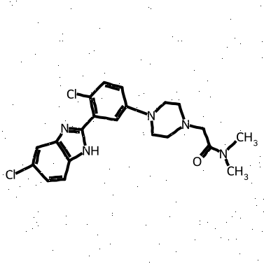 CN(C)C(=O)CN1CCN(c2ccc(Cl)c(-c3nc4cc(Cl)ccc4[nH]3)c2)CC1